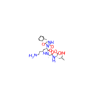 CC(C)C[C@H](NC(=O)[C@H](C)NC(=O)[C@@H](CCCCN)N1C(=O)N[C@@H](Cc2ccccc2)C1=O)C(=O)O